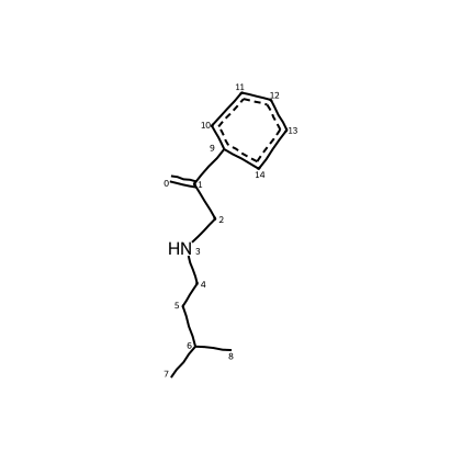 C=C(CNCCC(C)C)c1ccccc1